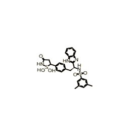 Cc1cc(C)cc(S(=O)(=O)N[C@@H](Cc2ccc(C3CC(=O)NS3(O)O)cc2)c2nc3ccccc3[nH]2)c1